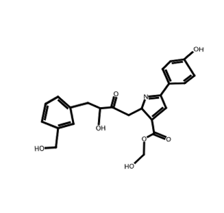 O=C(OCO)C1=CC(c2ccc(O)cc2)=NC1CC(=O)C(O)Cc1cccc(CO)c1